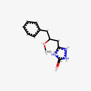 O=COC(Cc1ccccc1)Cc1n[nH]c(=O)[nH]1